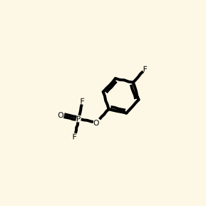 O=P(F)(F)Oc1ccc(F)cc1